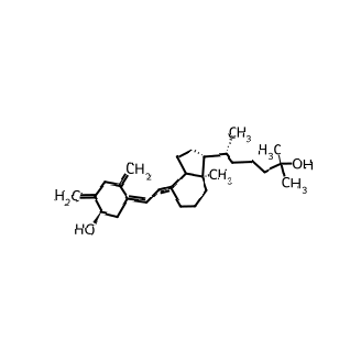 C=C1CC(=C)[C@H](O)C/C1=C/C=C1\CCC[C@@]2(C)C1CC[C@@H]2[C@H](C)CCCC(C)(C)O